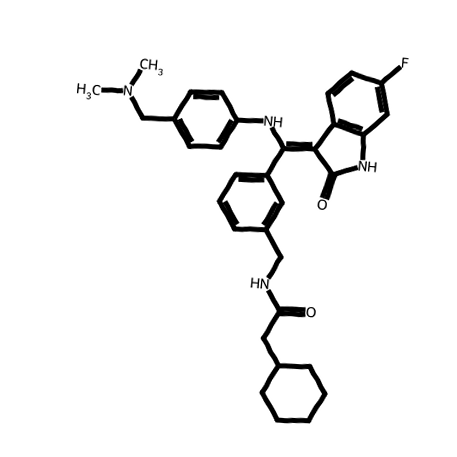 CN(C)Cc1ccc(NC(=C2C(=O)Nc3cc(F)ccc32)c2cccc(CNC(=O)CC3CCCCC3)c2)cc1